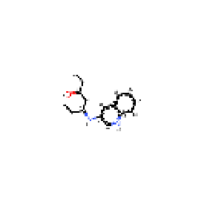 CCC(=O)CC(CC)=Nc1cnc2ccccc2c1